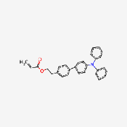 C=CC(=O)OCCc1ccc(-c2ccc(N(c3ccccc3)c3ccccc3)cc2)cc1